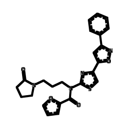 O=C1CCCN1CCCN(C(=O)c1ccco1)c1nc(-c2cc(-c3ccccc3)no2)cs1